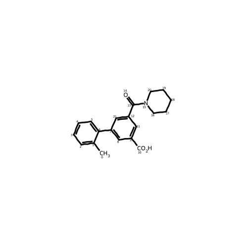 Cc1ccccc1-c1cc(C(=O)O)cc(C(=O)N2CCCCC2)c1